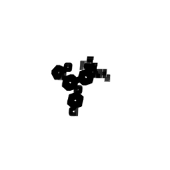 Nc1ccc(-c2cc(N3CCCC3=O)ccc2Oc2ccc(Cl)cc2)cc1C(F)(F)F